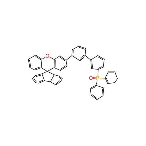 O=P(C1=CCCC=C1)(c1ccccc1)c1cccc(-c2cccc(-c3ccc4c(c3)Oc3ccccc3C43c4ccccc4C4C=CC=CC43)c2)c1